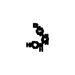 CCN1CCN(c2cc(NC3CCNCC3)ncn2)CC1